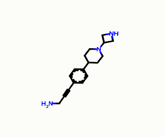 NCC#Cc1ccc(C2CCN(C3CNC3)CC2)cc1